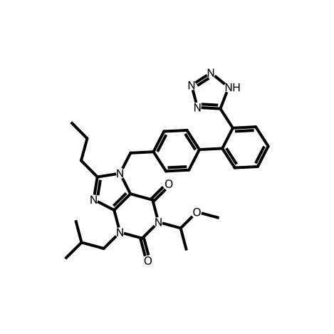 CCCc1nc2c(c(=O)n(C(C)OC)c(=O)n2CC(C)C)n1Cc1ccc(-c2ccccc2-c2nnn[nH]2)cc1